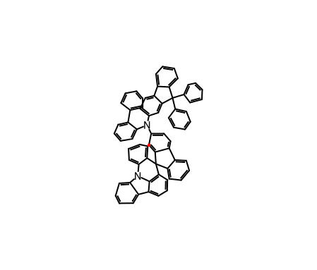 c1ccc(-c2ccccc2N(c2ccc3c(c2)C(c2ccccc2)(c2ccccc2)c2ccccc2-3)c2ccc3c(c2)C2(c4ccccc4-3)c3ccccc3-n3c4ccccc4c4cccc2c43)cc1